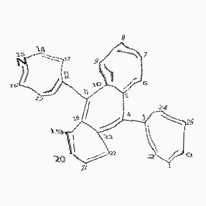 c1ccc(-c2c3ccccc3c(-c3ccncc3)c3ccccc23)cc1